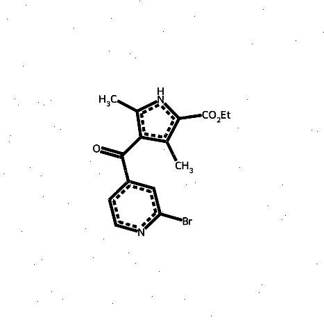 CCOC(=O)c1[nH]c(C)c(C(=O)c2ccnc(Br)c2)c1C